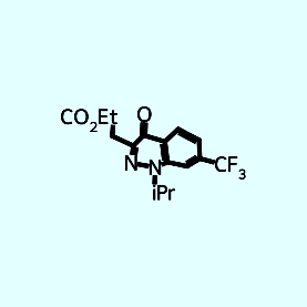 CCOC(=O)Cc1nn(C(C)C)c2cc(C(F)(F)F)ccc2c1=O